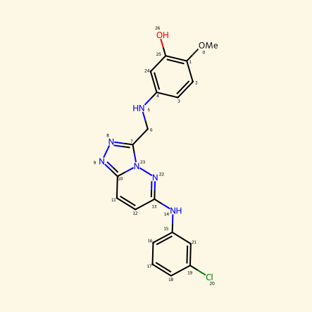 COc1ccc(NCc2nnc3ccc(Nc4cccc(Cl)c4)nn23)cc1O